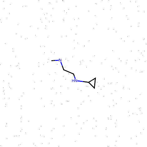 C[N]CCNC1CC1